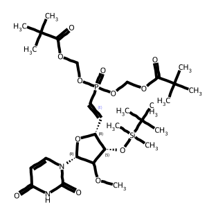 COC1[C@@H](O[Si](C)(C)C(C)(C)C)[C@@H](/C=C/P(=O)(OCOC(=O)C(C)(C)C)OCOC(=O)C(C)(C)C)O[C@H]1n1ccc(=O)[nH]c1=O